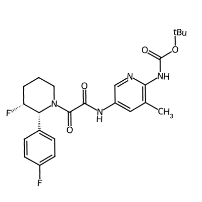 Cc1cc(NC(=O)C(=O)N2CCC[C@@H](F)[C@H]2c2ccc(F)cc2)cnc1NC(=O)OC(C)(C)C